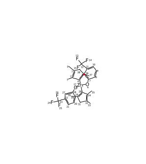 CC1=C(C)[C]([Zr]([O]c2cccc(C(F)(F)F)c2)([O]c2cccc(C(F)(F)F)c2)[C]2=C(C)CC(C)=C2C)=C(C)C1